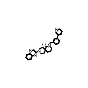 O=C1N(Cc2cccc(-c3cccnc3)c2)CCCC12CCN(c1cnc3ccccc3n1)CC2